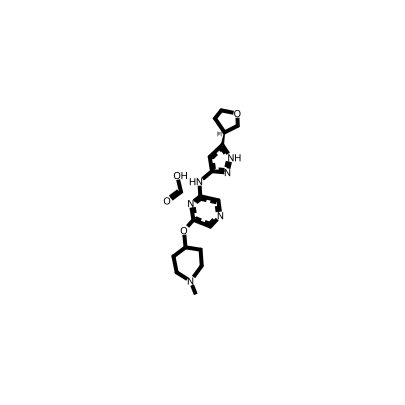 CN1CCC(Oc2cncc(Nc3cc([C@H]4CCOC4)[nH]n3)n2)CC1.O=CO